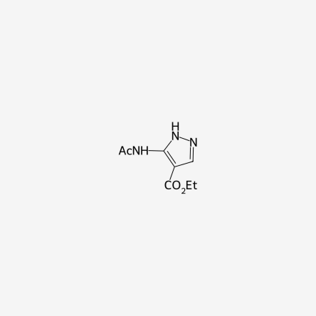 CCOC(=O)c1cn[nH]c1NC(C)=O